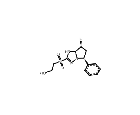 O=S(=O)(CCO)C1=NN2C(N1)[C@@H](F)C[C@H]2c1ccccc1